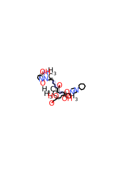 C/C(=C\C=C\[C@@H](C)CNC(=O)N1CCC[C@@H]1CO)[C@@H](C=O)[C@@H](C)/C=C/[C@H](OC(=O)N1CCN(C2CCCCCC2)CC1)[C@@](C)(O)CC[C@H](O)CC=O